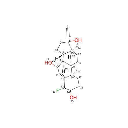 C#CC1(O)CC[C@H]2[C@@H]3C(O)C=C4C(F)C(O)CC[C@]4(C)[C@@H]3CC[C@@]21C